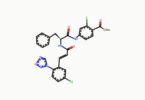 COC(=O)c1ccc(NC(=O)[C@H](Cc2ccccc2)NC(=O)/C=C/c2cc(Cl)ccc2-n2cnnn2)cc1F